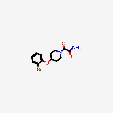 NC(=O)C(=O)N1CCC(Oc2ccccc2Br)CC1